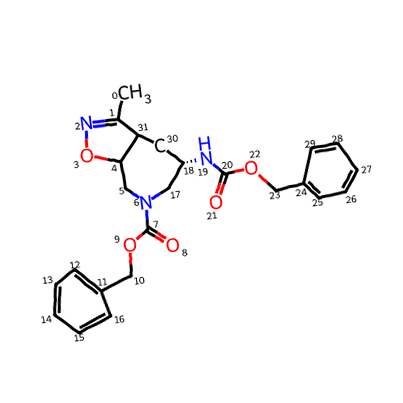 CC1=NOC2CN(C(=O)OCc3ccccc3)C[C@@H](NC(=O)OCc3ccccc3)CC12